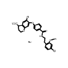 CC(C)Oc1cc(Cl)ccc1CCNC(=O)c1ccc(Oc2cc3c(cc2Cl)C(C(=O)[O-])CCO3)cc1.[Na+]